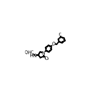 O=CNC1CC(=O)N(c2ccc(OCc3cccc(F)c3)cc2)C1